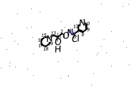 O[C@@H](CO/N=C(\Cl)c1cccnc1)CN1CCCCC1